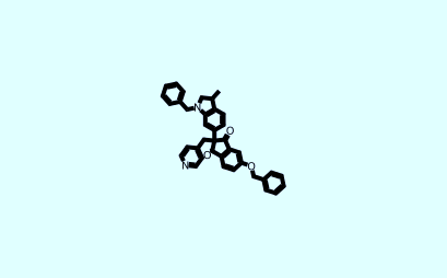 CC1CN(Cc2ccccc2)c2cc(C3(Cc4ccncc4)C(=O)c4ccc(OCc5ccccc5)cc4C3=O)ccc21